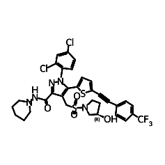 O=C(NN1CCCCC1)c1nn(-c2ccc(Cl)cc2Cl)c(-c2ccc(C#Cc3ccc(C(F)(F)F)cc3)s2)c1CS(=O)(=O)N1CC[C@@H](O)C1